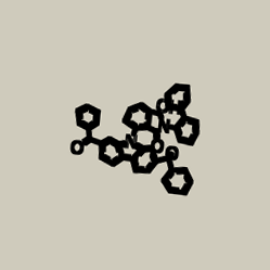 O=C(c1ccccc1)c1ccc2c3ccc(C(=O)c4ccccc4)cc3n(-c3cccc4c3C(=O)N(c3ccccc3-c3ccccc3)C4O)c2c1